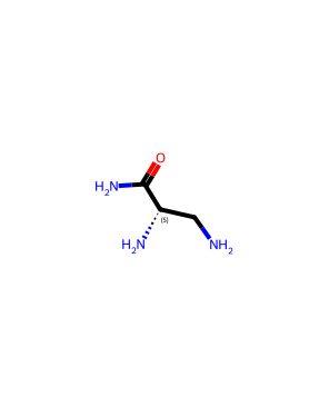 NC[C@H](N)C(N)=O